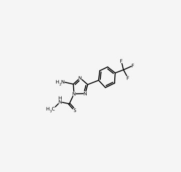 CNC(=S)n1nc(-c2ccc(C(F)(F)F)cc2)nc1N